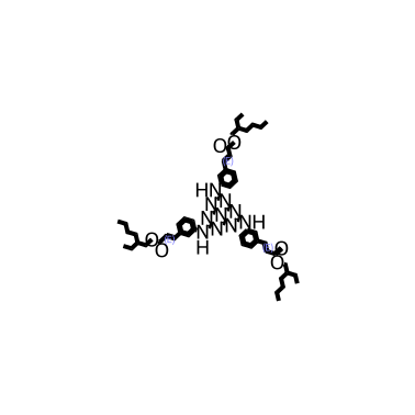 CCCCC(CC)COC(=O)/C=C/c1cccc(NC2=NC3=NC(Nc4cccc(/C=C/C(=O)OCC(CC)CCCC)c4)=NC4=NC(Nc5cccc(/C=C/C(=O)OCC(CC)CCCC)c5)=NC(=N2)N34)c1